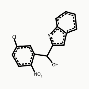 O=[N+]([O-])c1ccc(Cl)cc1C(O)c1cc2ccccc2s1